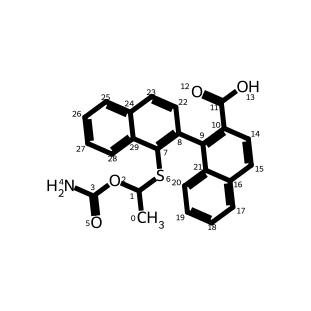 CC(OC(N)=O)Sc1c(-c2c(C(=O)O)ccc3ccccc23)ccc2ccccc12